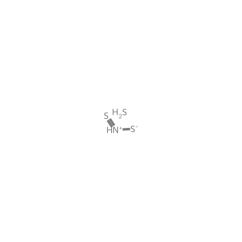 S.S=[NH+][S-]